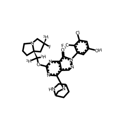 [2H]C([2H])(Oc1nc(N2CC3CCC2CN3)c2cnn(-c3cc(O)cc(Cl)c3C(F)(F)F)c(=O)c2n1)[C@@]12CCCN1C[C@]([2H])(F)C2